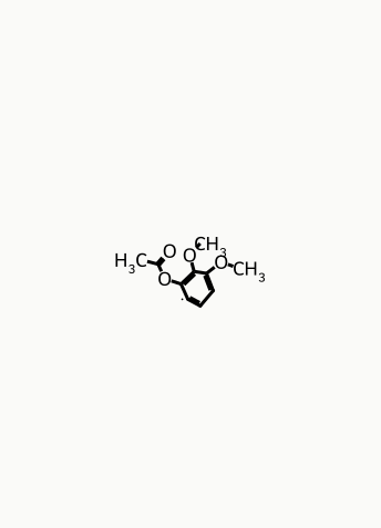 COc1cc[c]c(OC(C)=O)c1OC